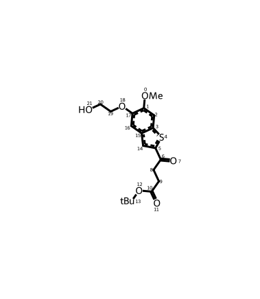 COc1cc2sc(C(=O)CCC(=O)OC(C)(C)C)cc2cc1OCCO